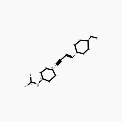 CC[C@H]1CC[C@H](C=CC#C[C@H]2CC[C@H](OC(F)F)CC2)CC1